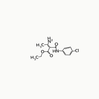 CCOC(=O)C(C(=O)Nc1ccc(Cl)cc1)=C(C)N